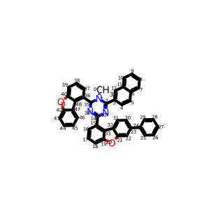 CN1C(c2ccc3ccccc3c2)=NC(c2cccc3oc4cc(-c5ccccc5)ccc4c23)=NC1c1cccc2oc3ccccc3c12